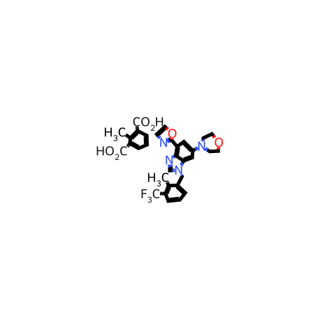 Cc1c(C(=O)O)cccc1C(=O)O.Cc1c(Cn2cnc3c(-c4ncco4)cc(N4CCOCC4)cc32)cccc1C(F)(F)F